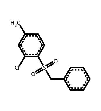 Cc1ccc(S(=O)(=O)Cc2ccccc2)c(Cl)c1